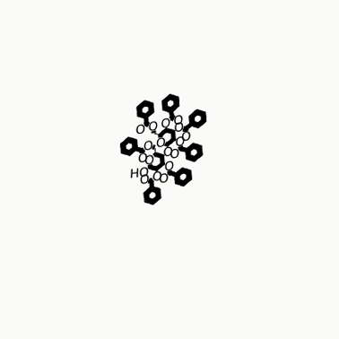 O=C(OC[C@H]1O[C@@H](O[C@H]2[C@H](OC(=O)c3ccccc3)[C@@H](OC(=O)c3ccccc3)[C@@H](O)O[C@@H]2COC(=O)c2ccccc2)[C@H](OC(=O)c2ccccc2)[C@@H](OC(=O)c2ccccc2)[C@H]1OC(=O)c1ccccc1)c1ccccc1